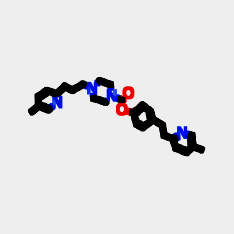 Cc1ccc(CCCN2CCN(C(=O)Oc3ccc(CCc4ccc(C)cn4)cc3)CC2)nc1